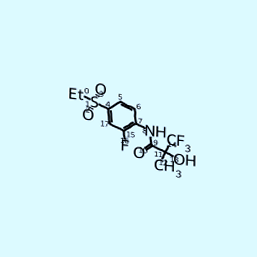 CCS(=O)(=O)c1ccc(NC(=O)C(C)(O)C(F)(F)F)c(F)c1